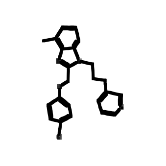 Cc1cccc2c1nc(COc1ccc(Cl)cc1)n2CCCc1cccnc1